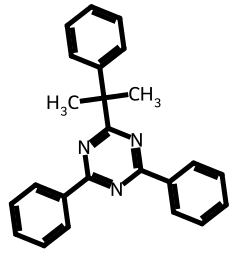 CC(C)(c1ccccc1)c1nc(-c2ccccc2)nc(-c2ccccc2)n1